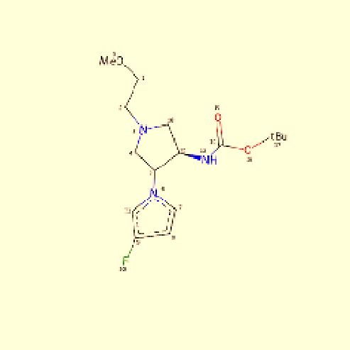 COCCN1CC(n2ccc(F)c2)[C@H](NC(=O)OC(C)(C)C)C1